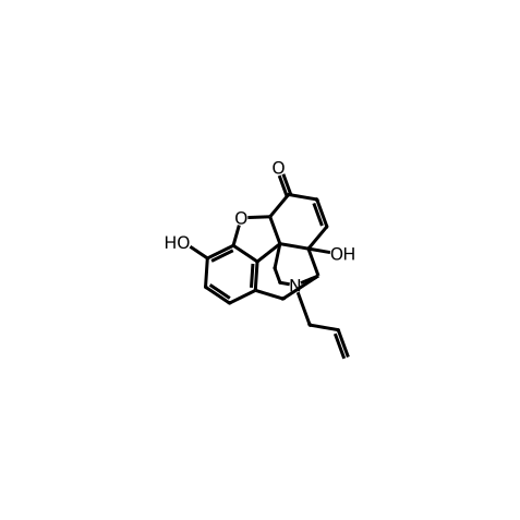 C=CCN1CCC23c4c5ccc(O)c4OC2C(=O)C=CC3(O)C1C5